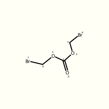 O=C(OCBr)OCBr